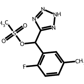 Cc1ccc(F)c(C(OS(C)(=O)=O)c2nn[nH]n2)c1